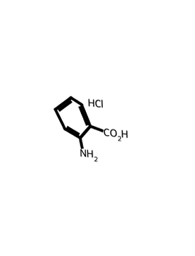 Cl.Nc1ccccc1C(=O)O